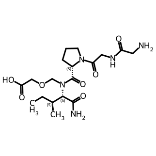 CC[C@H](C)[C@@H](C(N)=O)N(COCC(=O)O)C(=O)[C@@H]1CCCN1C(=O)CNC(=O)CN